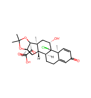 CC1(C)O[C@@H]2C[C@H]3[C@@H]4CCC5=CC(=O)C=C[C@]5(C)[C@@]4(Cl)[C@@H](O)C[C@]3(C)[C@]2(C(=O)C(=O)O)O1